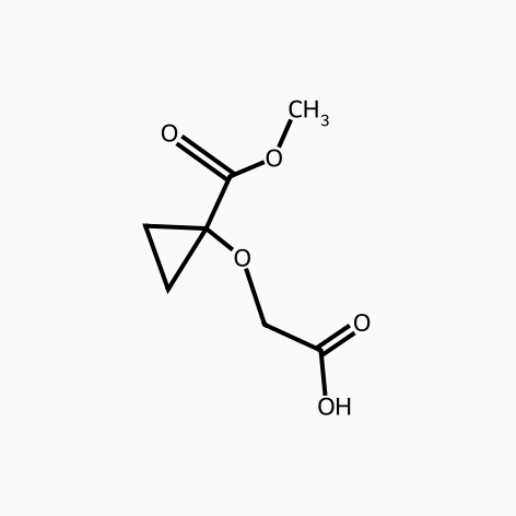 COC(=O)C1(OCC(=O)O)CC1